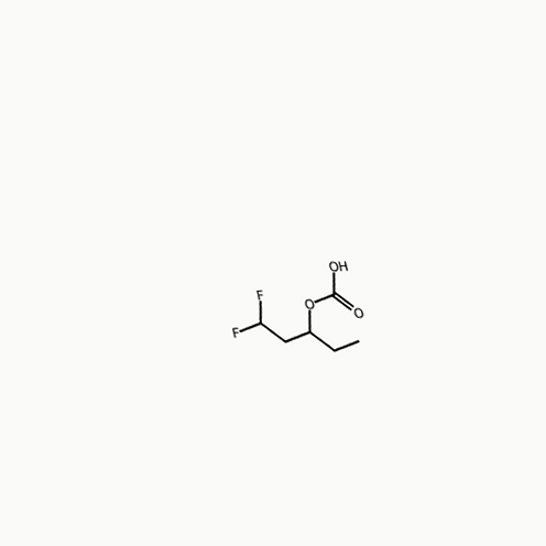 CCC(CC(F)F)OC(=O)O